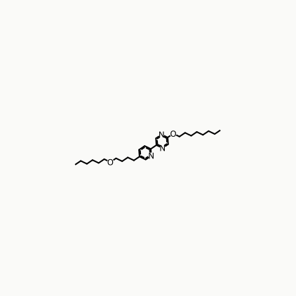 CCCCCCCCOc1cnc(-c2ccc(CCCCOCCCCCC)cn2)cn1